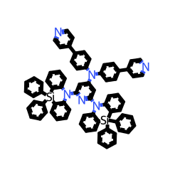 c1ccc([Si]2(c3ccccc3)c3ccccc3N(c3cc(N(c4ccc(-c5ccncc5)cc4)c4ccc(-c5ccncc5)cc4)cc(N4c5ccccc5[Si](c5ccccc5)(c5ccccc5)c5ccccc54)n3)c3ccccc32)cc1